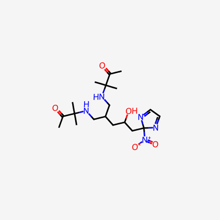 CC(=O)C(C)(C)NCC(CNC(C)(C)C(C)=O)CC(O)CC1([N+](=O)[O-])N=CC=N1